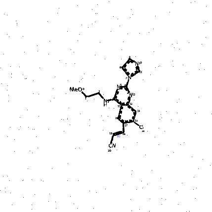 COCCNc1nc(-n2ccnc2)nc2cc(Cl)c(/C=C/C#N)cc12